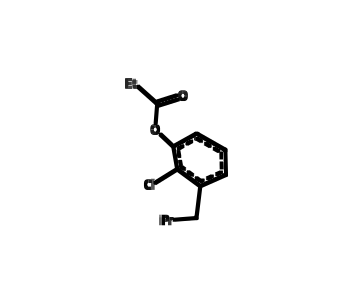 CCC(=O)Oc1cccc(CC(C)C)c1Cl